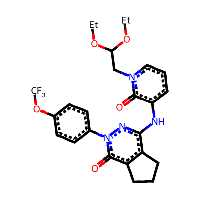 CCOC(Cn1cccc(Nc2nn(-c3ccc(OC(F)(F)F)cc3)c(=O)c3c2CCC3)c1=O)OCC